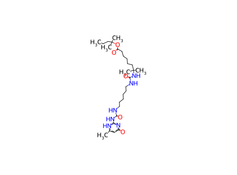 CCCC(C)(C)OC(=O)CCCCCC(C)(C)NC(=O)NCCCCCCNC(=O)Nc1nc(=O)cc(C)[nH]1